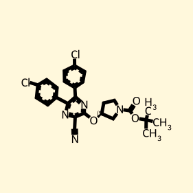 CC(C)(C)OC(=O)N1CC[C@H](Oc2nc(-c3ccc(Cl)cc3)c(-c3ccc(Cl)cc3)nc2C#N)C1